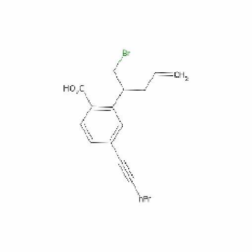 C=CCC(CBr)c1cc(C#CCCC)ccc1C(=O)O